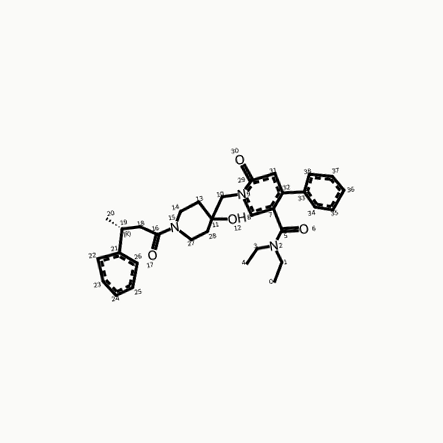 CCN(CC)C(=O)c1cn(CC2(O)CCN(C(=O)C[C@@H](C)c3ccccc3)CC2)c(=O)cc1-c1ccccc1